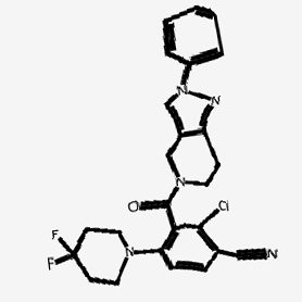 N#Cc1ccc(N2CCC(F)(F)CC2)c(C(=O)N2CCc3nn(-c4ccccc4)cc3C2)c1Cl